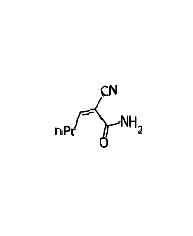 CCC/C=C(/C#N)C(N)=O